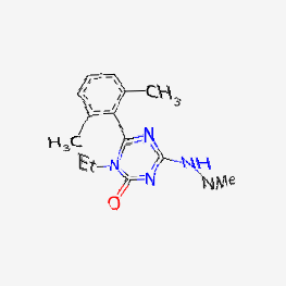 CCn1c(-c2c(C)cccc2C)nc(NNC)nc1=O